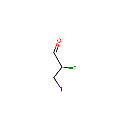 O=C[C@@H](F)CI